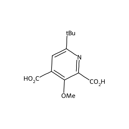 COc1c(C(=O)O)cc(C(C)(C)C)nc1C(=O)O